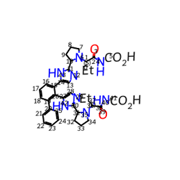 CC[C@@H](C(=O)NC(=O)O)N1CCCC1c1ncc(-c2cccc(-c3ccccc3)c2-c2cnc(C3CCCN3[C@@H](CC)C(=O)NC(=O)O)[nH]2)[nH]1